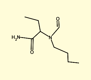 CCCCN(C=O)C(CC)C(N)=O